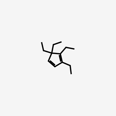 CCC1=C(CC)C(CC)(CC)C=C1